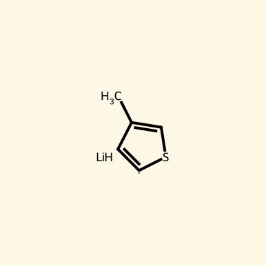 Cc1c[c]sc1.[LiH]